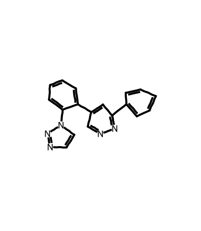 c1ccc(-c2cc(-c3ccccc3-n3ccnn3)cnn2)cc1